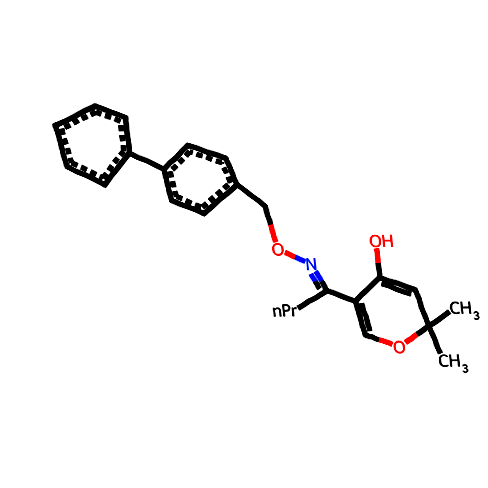 CCC/C(=N\OCc1ccc(-c2ccccc2)cc1)C1=COC(C)(C)C=C1O